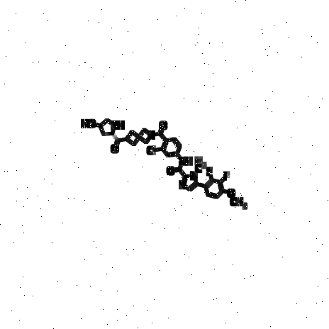 COc1ccc(-c2cnc(C(=O)Nc3ccc(C(=O)N4CC5(CC(C(=O)[C@@H]6C[C@@H](O)CN6)C5)C4)c(Cl)c3)n2C)c(F)c1F